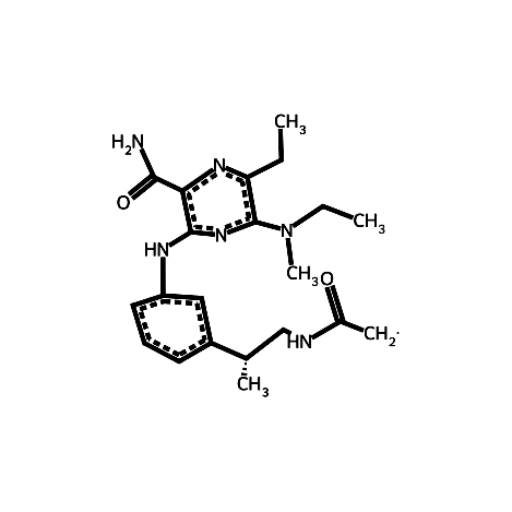 [CH2]C(=O)NC[C@H](C)c1cccc(Nc2nc(N(C)CC)c(CC)nc2C(N)=O)c1